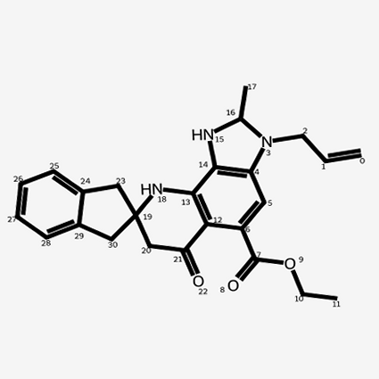 C=CCN1c2cc(C(=O)OCC)c3c(c2NC1C)NC1(CC3=O)Cc2ccccc2C1